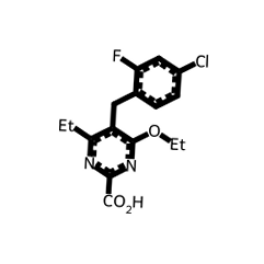 CCOc1nc(C(=O)O)nc(CC)c1Cc1ccc(Cl)cc1F